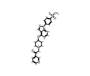 CS(=O)(=O)c1ccc(-n2ncc3c(OC4CCN(CC(=O)c5cccnc5)CC4)ncnc32)cc1